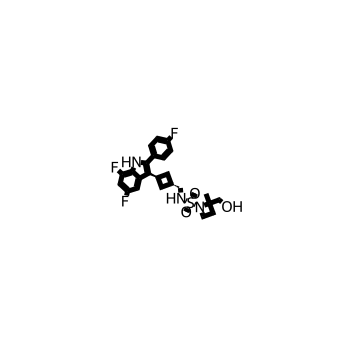 CC1(CO)CCN1S(=O)(=O)NC[C@H]1C[C@H](c2c(-c3ccc(F)cc3)[nH]c3c(F)cc(F)cc32)C1